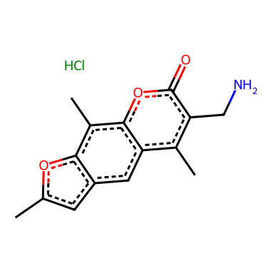 Cc1cc2cc3c(C)c(CN)c(=O)oc3c(C)c2o1.Cl